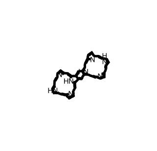 C1=Cc2cc3[nH]c(cc4nc(cc5ccc(cc1n2)[nH]5)C=C4)c1cc2c4cc5nc(cc6ccc(cc7nc(cc([nH]4)c2cc31)C=C7)[nH]6)C=C5